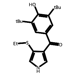 CCSc1c[nH]cc1C(=O)c1cc(C(C)(C)C)c(O)c(C(C)(C)C)c1